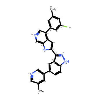 COc1cncc(-c2ccc3[nH]nc(-c4cc5c(-c6cc(F)cc(OC)c6)cncc5[nH]4)c3c2)c1